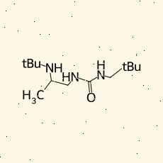 CC(CNC(=O)NCC(C)(C)C)NC(C)(C)C